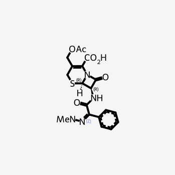 CN/N=C(\C(=O)N[C@@H]1C(=O)N2C(C(=O)O)=C(COC(C)=O)CS[C@H]12)c1ccccc1